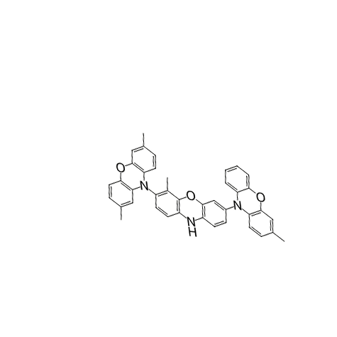 Cc1ccc2c(c1)Oc1ccccc1N2c1ccc2c(c1)Oc1c(ccc(N3c4ccc(C)cc4Oc4ccc(C)cc43)c1C)N2